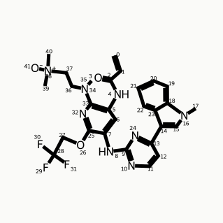 C=CC(=O)Nc1cc(Nc2nccc(-c3cn(C)c4ccccc34)n2)c(OCC(F)(F)F)nc1N(C)CC[N+](C)(C)[O-]